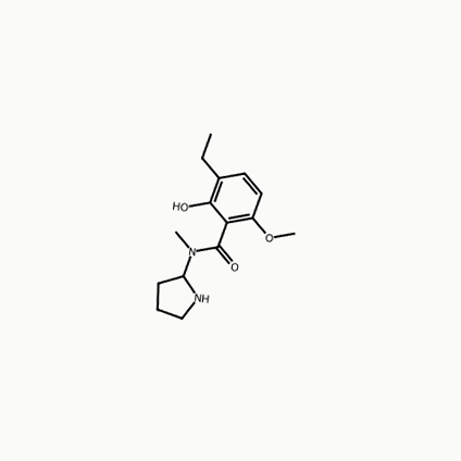 CCc1ccc(OC)c(C(=O)N(C)C2CCCN2)c1O